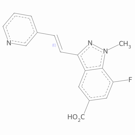 Cn1nc(/C=C/c2cccnc2)c2cc(C(=O)O)cc(F)c21